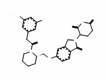 COc1cc(CC(=O)N2CCCC[C@@H]2COc2ccc3c(c2)CN(C2CCC(=O)NC2=O)C3=O)cc(OC)c1